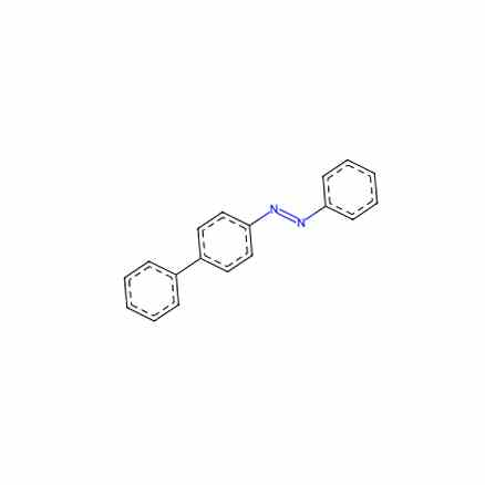 c1ccc(/N=N/c2ccc(-c3ccccc3)cc2)cc1